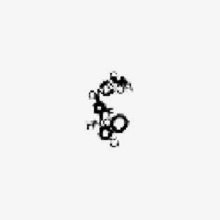 O=C(c1ccc(C2NC3CCC(Cl)CC3(C3CCCCCCC3)O2)c(F)c1)N1CCN(C(=O)C2(O)CC2)CC1